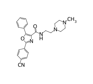 CN1CCN(CCNC(=O)c2nc(-c3ccc(C#N)cc3)oc2-c2ccccc2)CC1